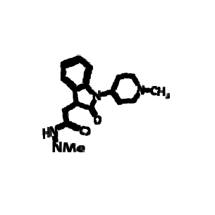 CNNC(=O)CC1C(=O)N(C2CCN(C)CC2)c2ccccc21